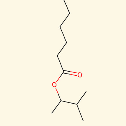 CCCCCC(=O)OC(C)C(C)C